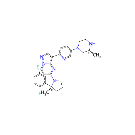 C[C@H]1CN(c2ccc(-c3cnn4ccc(N5CCC[C@]5(C)c5cc(F)ccc5F)nc34)nc2)CCN1